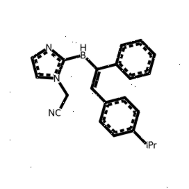 CC(C)c1ccc(C=C(Bc2nccn2CC#N)c2ccccc2)cc1